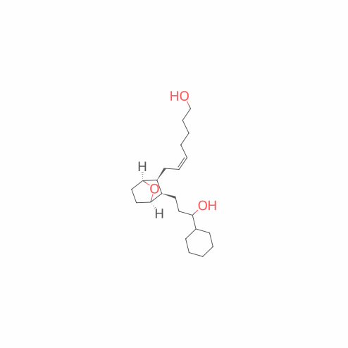 OCCCC/C=C\C[C@H]1[C@@H](CCC(O)C2CCCCC2)[C@H]2CC[C@@H]1O2